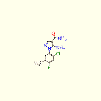 Cc1cc(-n2ncc(C(N)=O)c2N)c(Cl)cc1F